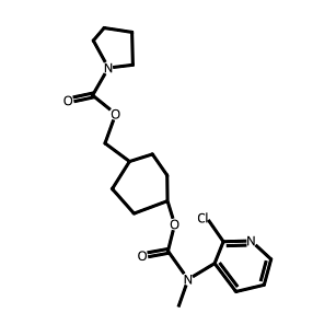 CN(C(=O)OC1CCC(COC(=O)N2CCCC2)CC1)c1cccnc1Cl